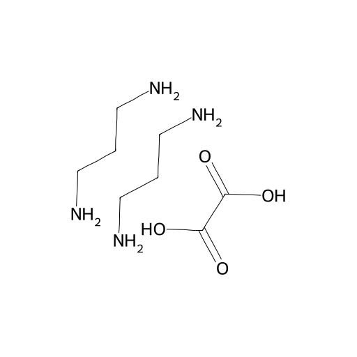 NCCCN.NCCCN.O=C(O)C(=O)O